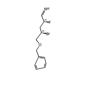 N=C[C@@H](F)C[C@@H](Br)COCc1ccccc1